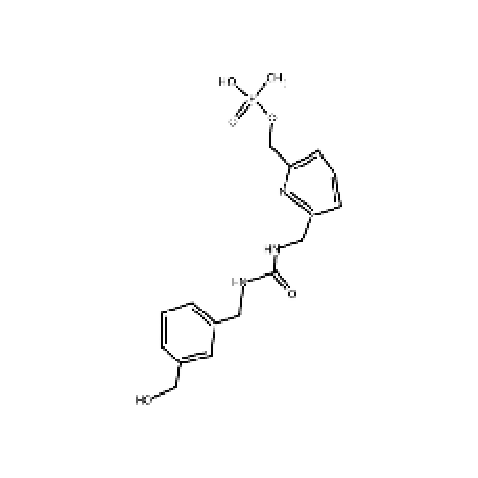 CP(=O)(O)OCc1cccc(CNC(=O)NCc2cccc(CO)c2)n1